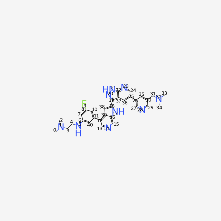 CN(C)CCNc1cc(F)cc(-c2cncc3[nH]c(-c4n[nH]c5ncc(-c6cncc(CN(C)C)c6)cc45)cc23)c1